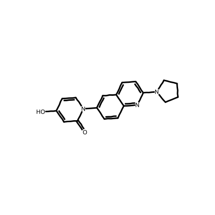 O=c1cc(O)ccn1-c1ccc2nc(N3CCCC3)ccc2c1